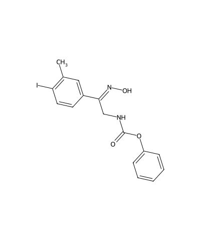 Cc1cc(C(CNC(=O)Oc2ccccc2)=NO)ccc1I